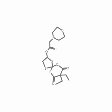 CCC1(CC)C(=O)OC2(OC1=O)SCC(OC(=O)CN1CCOCC1)S2